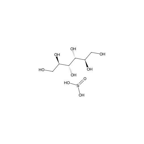 O=[Si](O)O.OC[C@@H](O)[C@@H](O)[C@H](O)[C@H](O)CO